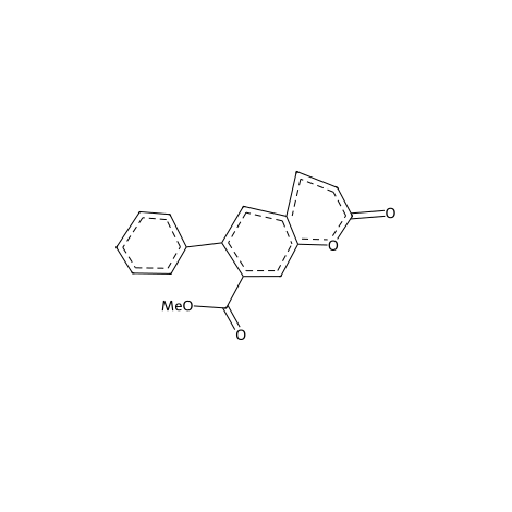 COC(=O)c1cc2oc(=O)ccc2cc1-c1ccccc1